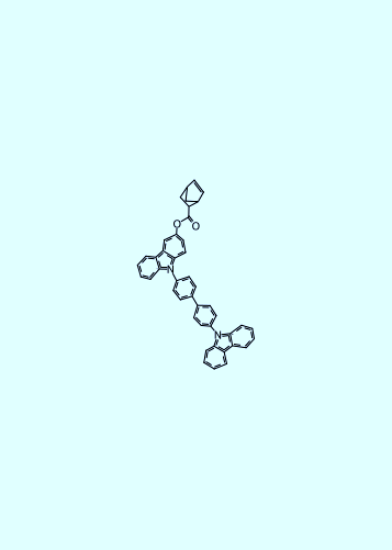 O=C(Oc1ccc2c(c1)c1ccccc1n2-c1ccc(-c2ccc(-n3c4ccccc4c4ccccc43)cc2)cc1)C1CC2C=CC1C2